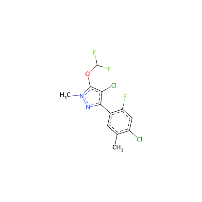 Cc1cc(-c2nn(C)c(OC(F)F)c2Cl)c(F)cc1Cl